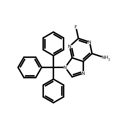 Nc1nc(F)nc2c1ncn2C(c1ccccc1)(c1ccccc1)c1ccccc1